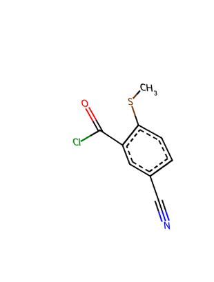 CSc1ccc(C#N)cc1C(=O)Cl